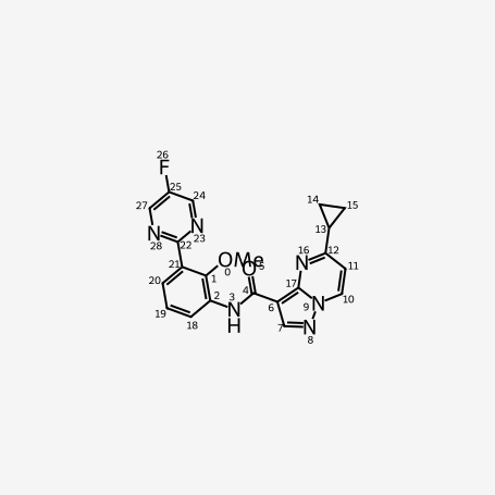 COc1c(NC(=O)c2cnn3ccc(C4CC4)nc23)cccc1-c1ncc(F)cn1